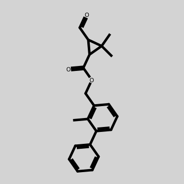 Cc1c(COC(=O)C2C(C=O)C2(C)C)cccc1-c1ccccc1